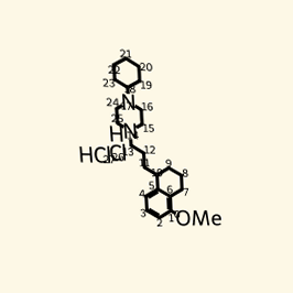 COc1cccc2c1CCCC2CCCN1CCN(C2CCCCC2)CC1.Cl.Cl